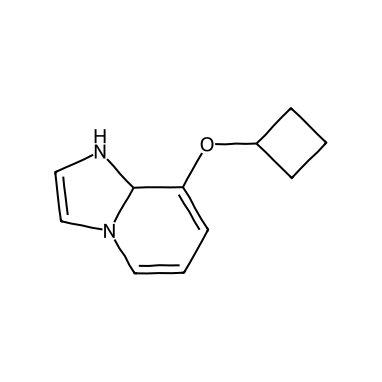 C1=CN2C=CNC2C(OC2CCC2)=C1